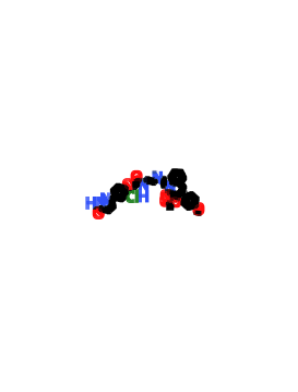 COc1ccc([C@@H]2Cc3ccccc3N(CCN(C)CCNC(=O)COc3ccc(C4=NNC(=O)CC4)cc3Cl)C(=O)[C@@H]2OC(C)=O)cc1